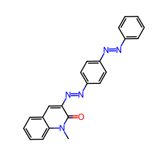 Cn1c(=O)c(N=Nc2ccc(N=Nc3ccccc3)cc2)cc2ccccc21